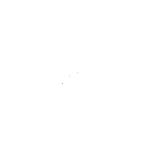 O=C[C@@H]1CCC2CN1C(=O)N2OCc1ccccc1